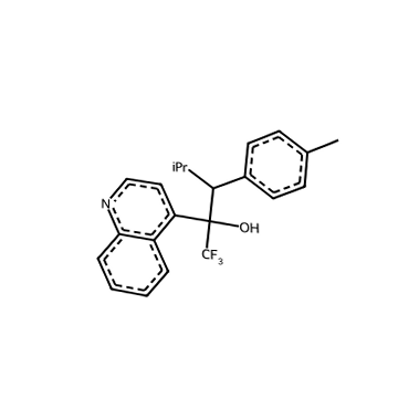 Cc1ccc(C(C(C)C)C(O)(c2ccnc3ccccc23)C(F)(F)F)cc1